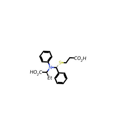 CC[C@@H](C(=O)O)N(c1ccccc1)[C@H](SCCC(=O)O)c1ccccc1